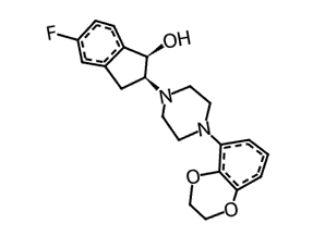 O[C@@H]1c2ccc(F)cc2C[C@@H]1N1CCN(c2cccc3c2OCCO3)CC1